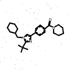 CC(C)(C)c1nc(-c2ccc(C(=O)N3CCCCC3)cc2)cn1CC1CCCCC1